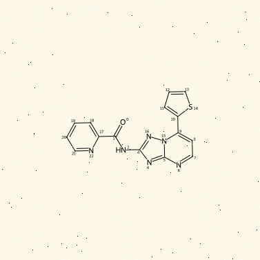 O=C(Nc1nc2nccc(-c3cccs3)n2n1)c1ccccn1